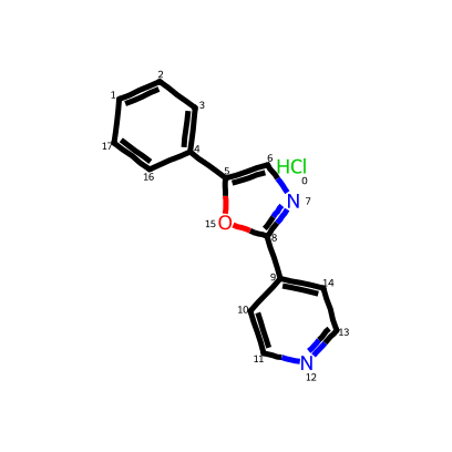 Cl.c1ccc(-c2cnc(-c3ccncc3)o2)cc1